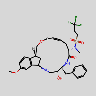 COc1ccc2c(c1)[C@@H]1C[C@H]2COCC=CC[C@H](N(C)S(=O)(=O)CCC(F)(F)F)C(=O)N[C@@H](Cc2ccccc2)[C@H](O)CN1